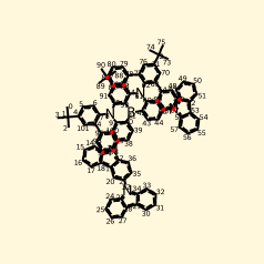 CC(C)(C)c1ccc(N2c3cc(-n4c5ccccc5c5cc(-n6c7ccccc7c7ccccc76)ccc54)ccc3B3c4ccc(-n5c6ccccc6c6ccccc65)cc4N(c4c(-c5ccccc5)cc(C(C)(C)C)cc4-c4ccccc4)c4cc(C(C)(C)C)cc2c43)c(-c2ccccc2)c1